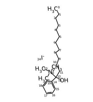 CCCCCCCCCCCCC(O)(c1ccccc1)[N+](C)(C)C.[I-]